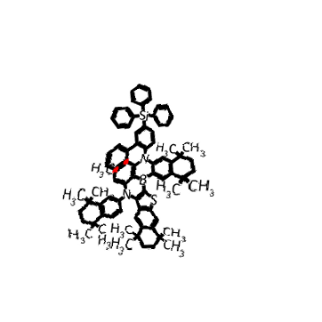 Cc1cc2c3c(c1)N(c1ccc4c(c1)C(C)(C)CCC4(C)C)c1c(sc4cc5c(cc14)C(C)(C)CCC5(C)C)B3c1cc3c(cc1N2c1ccc([Si](c2ccccc2)(c2ccccc2)c2ccccc2)cc1-c1ccccc1)C(C)(C)CCC3(C)C